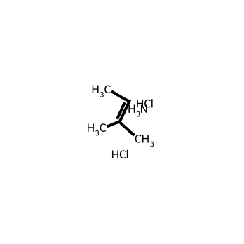 CC=C(C)C.Cl.Cl.N